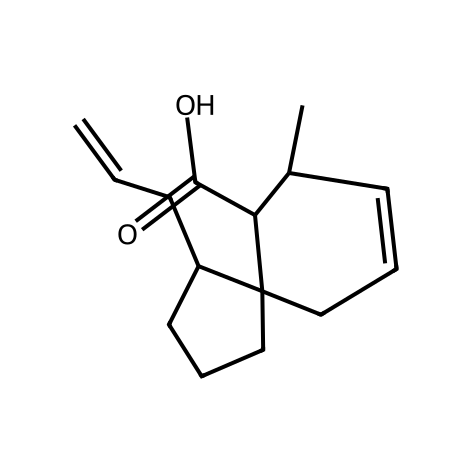 C=CCC1CCCC12CC=CC(C)C2C(=O)O